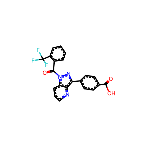 O=C(O)c1ccc(-c2nn(C(=O)c3ccccc3C(F)(F)F)c3cccnc23)cc1